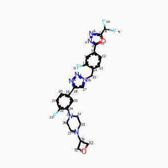 Fc1cc(-c2nnc(C(F)F)o2)ccc1Cn1cc(-c2ccc(F)c(N3CCN(C4COC4)CC3)c2)nn1